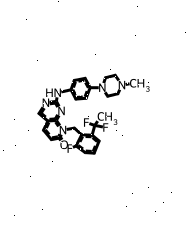 CN1CCN(c2ccc(Nc3ncc4ccc(=O)n(Cc5c(F)cccc5C(C)(F)F)c4n3)cc2)CC1